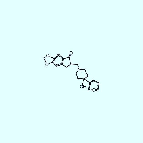 O=C1c2cc3c(cc2CC1CN1CCC(O)(c2ccccc2)CC1)OCO3